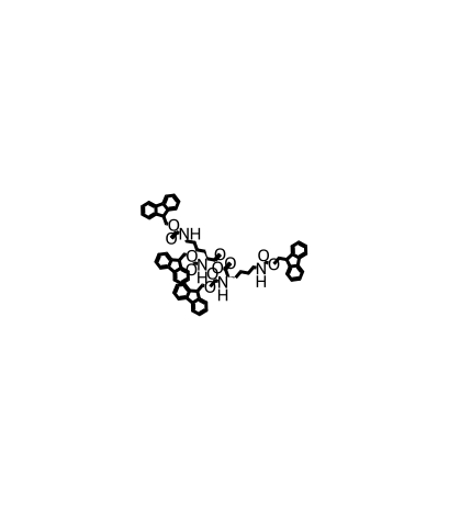 O=C(NCCCC[C@H](NC(=O)OCC1c2ccccc2-c2ccccc21)C(=O)OC(=O)[C@H](CCCCNC(=O)OCC1c2ccccc2-c2ccccc21)NC(=O)OCC1c2ccccc2-c2ccccc21)OCC1c2ccccc2-c2ccccc21